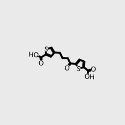 O=C(O)c1cc(CCCC(=O)c2ccc(C(=O)O)s2)cs1